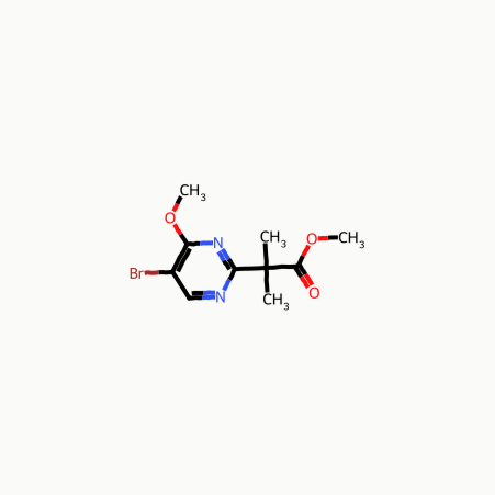 COC(=O)C(C)(C)c1ncc(Br)c(OC)n1